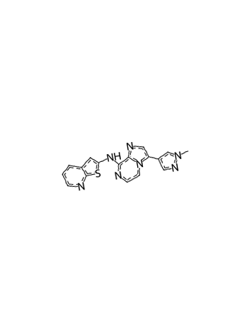 Cn1cc(-c2cnc3c(Nc4cc5cccnc5s4)nccn23)cn1